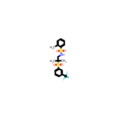 Cc1ccccc1S(=O)(=O)NCC(C)(C)S(=O)(=O)c1cccc(C(F)(F)F)c1